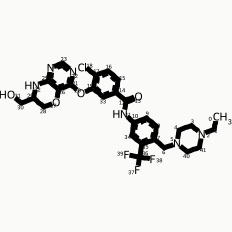 CCN1CCN(Cc2ccc(NC(=O)c3ccc(Cl)c(Oc4ncnc5c4OCC(CO)N5)c3)cc2C(F)(F)F)CC1